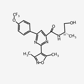 Cc1noc(C)c1-c1nc(C(=O)N[C@@H](C)CO)cc(-c2ccc(OC(F)(F)F)cc2)n1